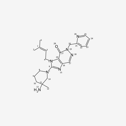 CC(C)=CCn1c(N2CCCC(C)(N)C2)nc2cnn(Cc3ccccn3)c(=O)c21